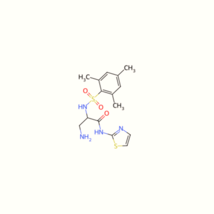 Cc1cc(C)c(S(=O)(=O)NC(CN)C(=O)Nc2nccs2)c(C)c1